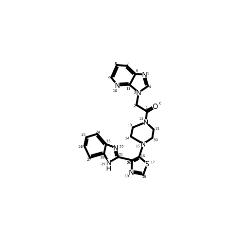 O=C(Cn1cnc2cccnc21)N1CCN(c2scnc2-c2nc3ccccc3[nH]2)CC1